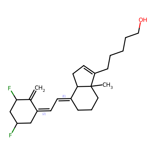 C=C1/C(=C\C=C2/CCCC3(C)C(CCCCCO)=CCC23)CC(F)CC1F